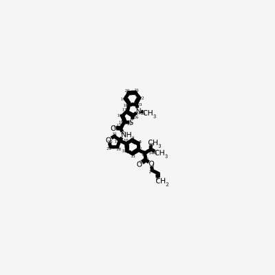 C=CCOC(=O)C(c1ccc(C2(NC(=O)c3cc4c5ccccc5n(C)c4s3)CCOC2)cc1)C(C)C